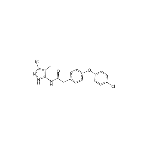 CCc1n[nH]c(NC(=O)Cc2ccc(Oc3ccc(Cl)cc3)cc2)c1C